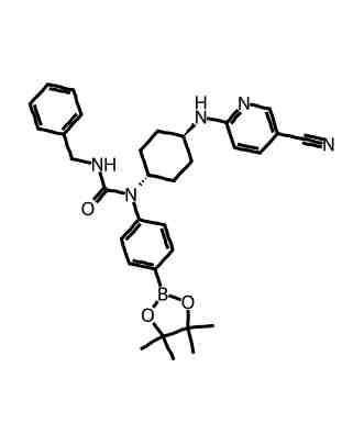 CC1(C)OB(c2ccc(N(C(=O)NCc3ccccc3)[C@H]3CC[C@H](Nc4ccc(C#N)cn4)CC3)cc2)OC1(C)C